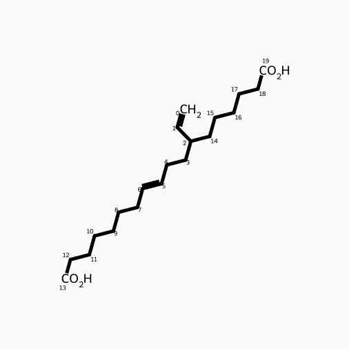 C=CC(CC/C=C/CCCCCCC(=O)O)CCCCCC(=O)O